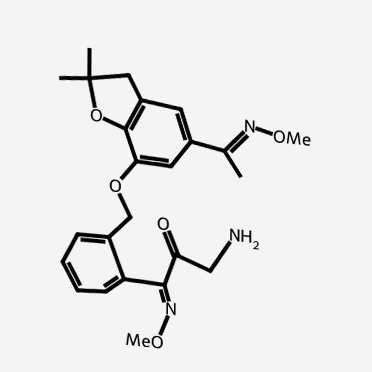 CON=C(C)c1cc2c(c(OCc3ccccc3/C(=N\OC)C(=O)CN)c1)OC(C)(C)C2